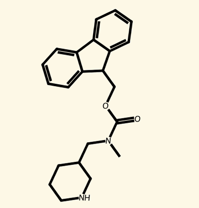 CN(CC1CCCNC1)C(=O)OCC1c2ccccc2-c2ccccc21